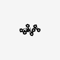 c1ccc(-c2nc(-c3cccc4c3sc3ccccc34)cc(-n3c4ccccc4c4cc5c(cc43)c3ccccc3n5-c3ccccc3)n2)cc1